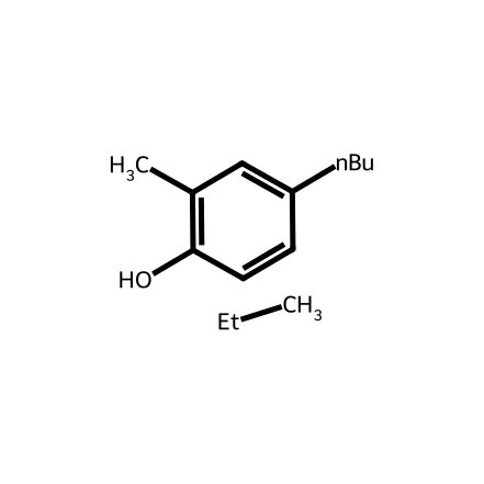 CCC.CCCCc1ccc(O)c(C)c1